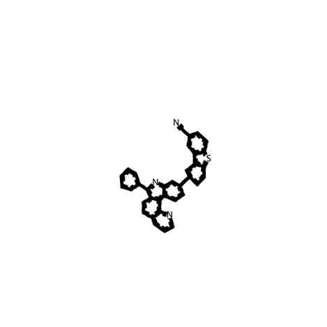 N#Cc1ccc2sc3ccc(-c4ccc5c(c4)nc(-c4ccccc4)c4ccc6cccnc6c45)cc3c2c1